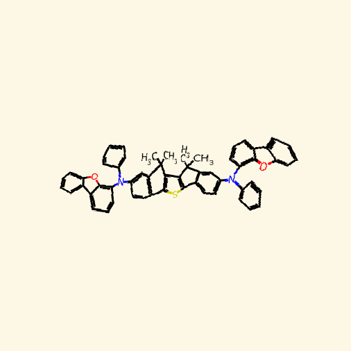 CC1(C)c2cc(N(c3ccccc3)c3cccc4c3oc3ccccc34)ccc2-c2sc3c(c21)C(C)(C)c1cc(N(c2ccccc2)c2cccc4c2oc2ccccc24)ccc1-3